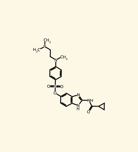 CN(C)CCN(C)c1ccc(S(=O)(=O)Oc2ccc3[nH]c(NC(=O)C4CC4)nc3c2)cc1